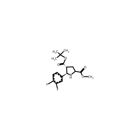 COC(=O)C1C[C@@H](C(=O)OC(C)(C)C)[C@H](c2ccc(F)c(F)c2)N1